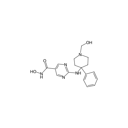 O=C(NO)c1cnc(NC2(c3ccccc3)CCN(CO)CC2)nc1